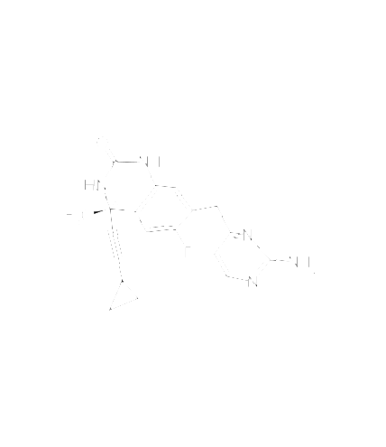 Nc1nccc(Cc2cc3c(cc2F)[C@@](C#CC2CC2)(C(F)(F)F)NC(=O)N3)n1